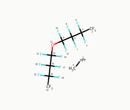 CCCC.FC(F)(F)C(F)(F)C(F)(F)C(F)(F)OC(F)(F)C(F)(F)C(F)(F)C(F)(F)F